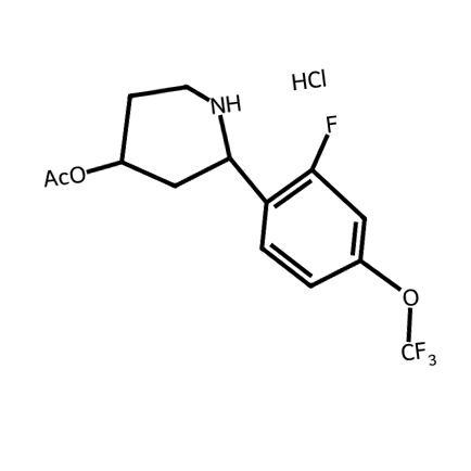 CC(=O)OC1CCNC(c2ccc(OC(F)(F)F)cc2F)C1.Cl